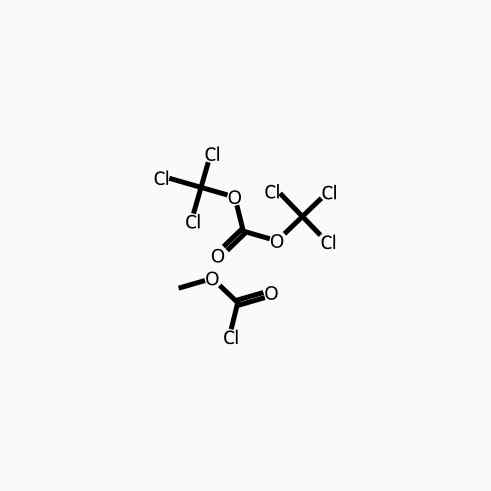 COC(=O)Cl.O=C(OC(Cl)(Cl)Cl)OC(Cl)(Cl)Cl